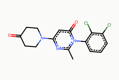 Cc1nc(N2CCC(=O)CC2)cc(=O)n1-c1cccc(Cl)c1Cl